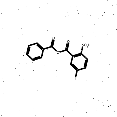 O=C(OC(=O)c1cc(I)ccc1S(=O)(=O)O)c1ccccc1